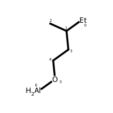 CCC(C)CC[O][AlH2]